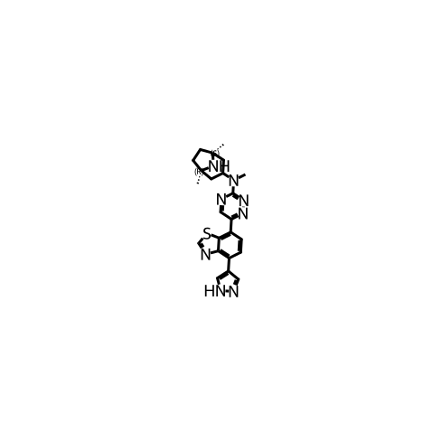 CN(c1ncc(-c2ccc(-c3cn[nH]c3)c3ncsc23)nn1)C1C[C@]2(C)CC[C@](C)(C1)N2